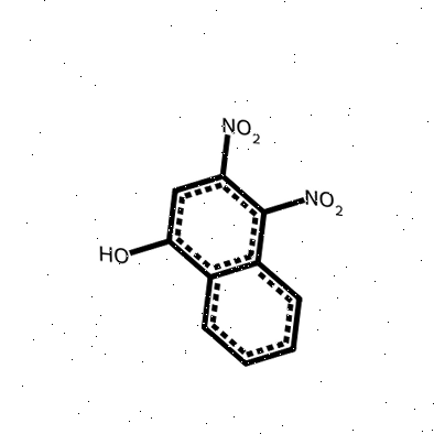 O=[N+]([O-])c1cc(O)c2ccccc2c1[N+](=O)[O-]